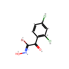 O=C(/C(Br)=N/O)c1ccc(Cl)cc1Cl